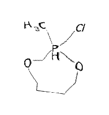 C[PH]1(Cl)OCCO1